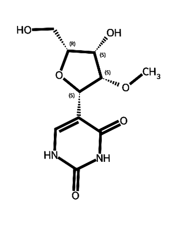 CO[C@H]1[C@@H](O)[C@@H](CO)O[C@H]1c1c[nH]c(=O)[nH]c1=O